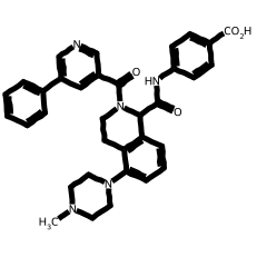 CN1CCN(c2cccc3c2CCN(C(=O)c2cncc(-c4ccccc4)c2)C3C(=O)Nc2ccc(C(=O)O)cc2)CC1